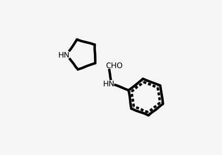 C1CCNC1.O=CNc1ccccc1